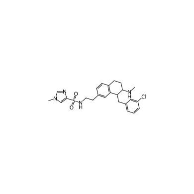 CNC1CCc2ccc(CCNS(=O)(=O)c3cn(C)cn3)cc2C1Cc1cccc(Cl)c1